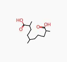 CC(CCCC(C)C(=O)O)CCC(C)C(=O)O